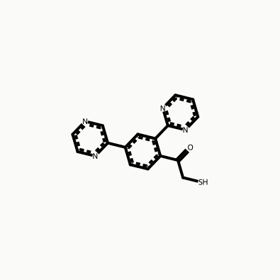 O=C(CS)c1ccc(-c2cnccn2)cc1-c1ncccn1